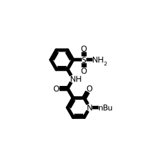 CCCCn1cccc(C(=O)Nc2ccccc2S(N)(=O)=O)c1=O